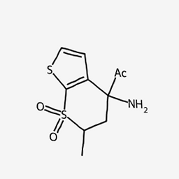 CC(=O)C1(N)CC(C)S(=O)(=O)c2sccc21